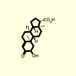 C[C@]12CC[C@H]3[C@@H](CCC4=CC(=O)C(O)C[C@@]43C)[C@@H]1CC[C@@H]2C(=O)O